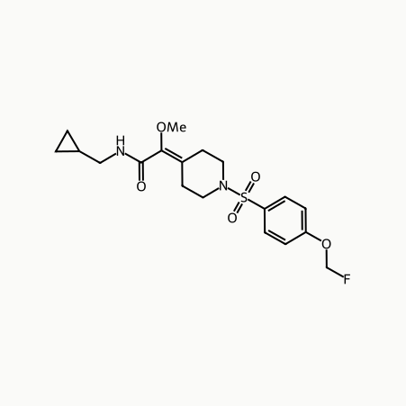 COC(C(=O)NCC1CC1)=C1CCN(S(=O)(=O)c2ccc(OCF)cc2)CC1